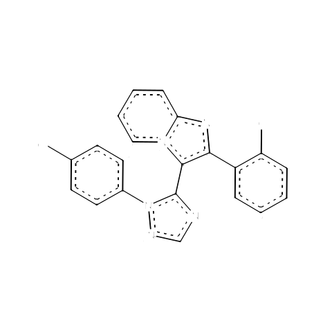 Clc1ccc(-n2ncnc2-c2c(-c3ccccc3Cl)nc3ccccn23)cc1